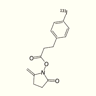 C=C1CCC(=O)N1OC(=O)CCc1ccc([131I])cc1